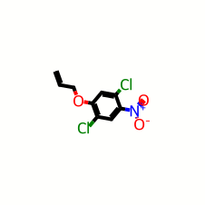 C=CCOc1cc(Cl)c([N+](=O)[O-])cc1Cl